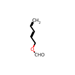 C=CC=CCOC=O